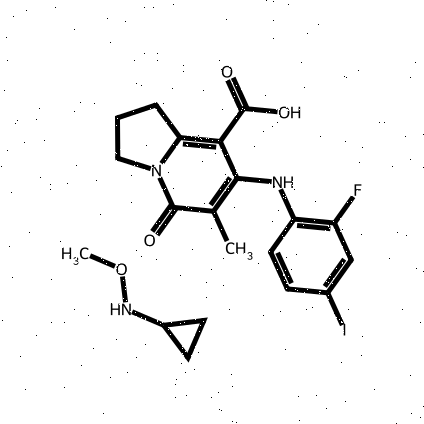 CONC1CC1.Cc1c(Nc2ccc(I)cc2F)c(C(=O)O)c2n(c1=O)CCC2